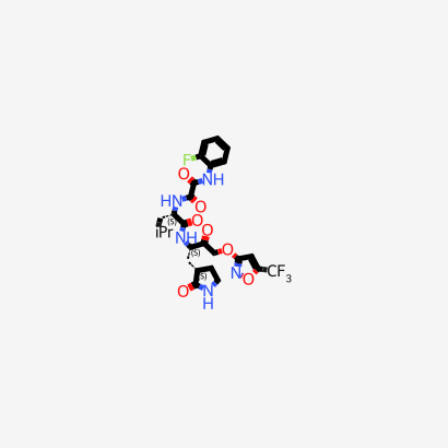 CC(C)C[C@H](NC(=O)C(=O)Nc1ccccc1F)C(=O)N[C@@H](C[C@@H]1CCNC1=O)C(=O)COc1cc(C(F)(F)F)on1